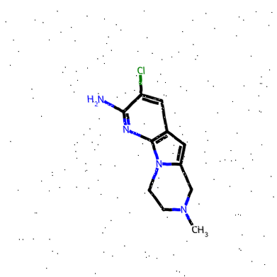 CN1CCn2c(cc3cc(Cl)c(N)nc32)C1